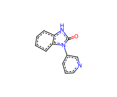 O=c1[nH]c2ccccc2n1-c1cccnc1